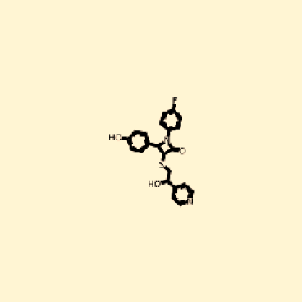 O=C1C(SCC(O)c2ccncc2)C(c2ccc(O)cc2)N1c1ccc(F)cc1